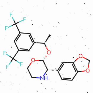 C[C@@H](O[C@H]1OCCN[C@H]1c1ccc2c(c1)OCO2)c1cc(C(F)(F)F)cc(C(F)(F)F)c1